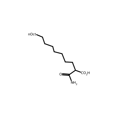 CCCCCCCCCCCCCCCC(C(N)=O)C(=O)O